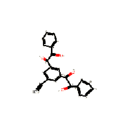 C#Cc1cc(C(=O)C(=O)c2ccccc2)cc(C(=O)C(=O)c2ccccc2)c1